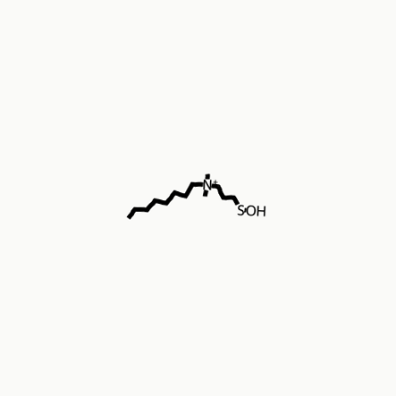 CCCCCCCC[N+](C)(C)CCCSO